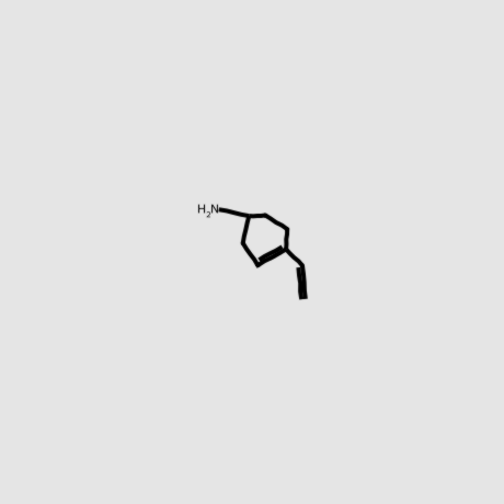 C=CC1=CCC(N)CC1